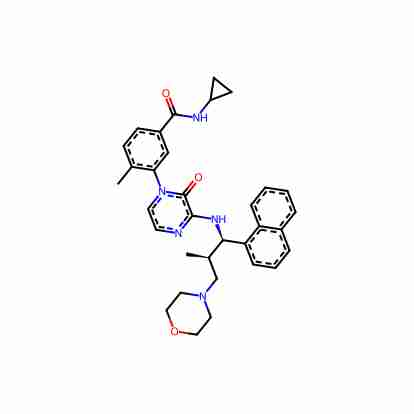 Cc1ccc(C(=O)NC2CC2)cc1-n1ccnc(N[C@@H](c2cccc3ccccc23)[C@H](C)CN2CCOCC2)c1=O